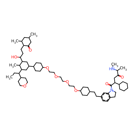 CCC(C1CCOCC1)C1CC(C2CCC(OCCOCCOCCOC3CCC(CCc4ccc5c(c4)N(C(=O)C(CC(=O)C(C)NC)C4CCCCC4)CC5)CC3)CC2)CC(C(O)CCC2C(=O)CC(C)CC2C)C1C